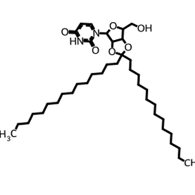 CCCCCCCCCCCCCCCC1(CCCCCCCCCCCCCCC)OC2C(CO)OC(n3ccc(=O)[nH]c3=O)C2O1